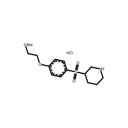 COCCOc1ccc(S(=O)(=O)C2CCCNC2)cc1.Cl